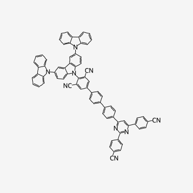 N#Cc1ccc(-c2cc(-c3ccc(-c4ccc(-c5cc(C#N)c(-n6c7ccc(-n8c9ccccc9c9ccccc98)cc7c7cc(-n8c9ccccc9c9ccccc98)ccc76)c(C#N)c5)cc4)cc3)nc(-c3ccc(C#N)cc3)n2)cc1